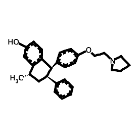 C[C@H]1C[C@H](c2ccccc2)[C@H](c2ccc(OCCN3CCCC3)cc2)c2ccc(O)cc21